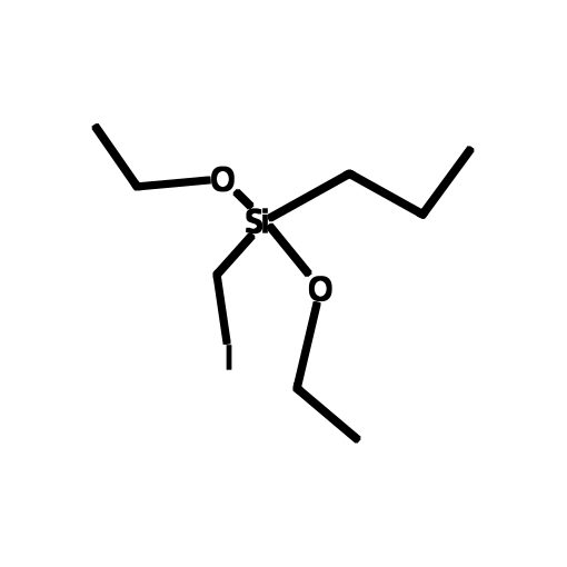 CCC[Si](CI)(OCC)OCC